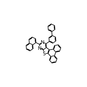 c1ccc(-c2cccc(-c3nc(-c4cccc5ccccc45)nc4sc5c6ccccc6c6ccccc6c5c34)c2)cc1